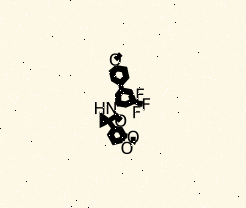 COc1ccc(-c2cc(NC(=O)C3(c4ccc5c(c4)OCO5)CC3)cc(C(F)(F)F)c2)cc1